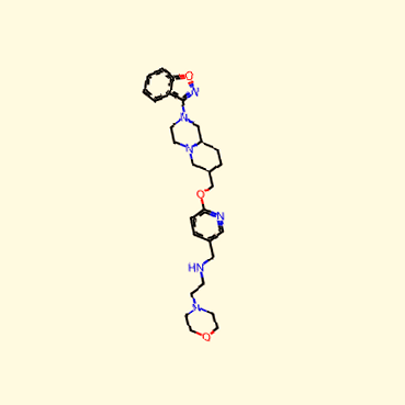 c1ccc2c(N3CCN4CC(COc5ccc(CNCCN6CCOCC6)cn5)CCC4C3)noc2c1